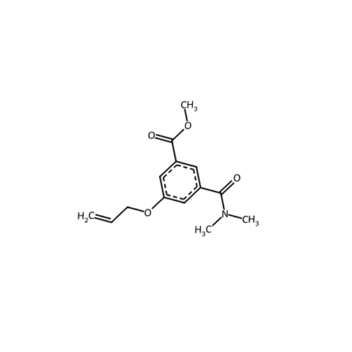 C=CCOc1cc(C(=O)OC)cc(C(=O)N(C)C)c1